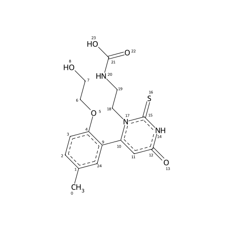 Cc1ccc(OCCO)c(-c2cc(=O)[nH]c(=S)n2CCNC(=O)O)c1